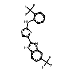 FC(F)(F)c1ccc2[nH]c(-c3csc(Nc4ccccc4C(F)(F)F)n3)nc2c1